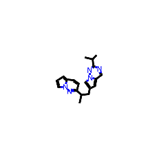 CC(C)c1ncc2cc(CC(C)c3ccc4cccn4n3)cn2n1